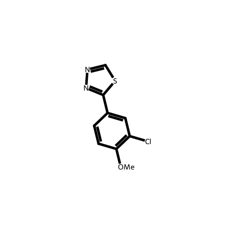 COc1ccc(-c2nncs2)cc1Cl